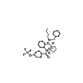 CCCCN(Cc1ccccc1)[C@H]1c2ccccc2N(C(=O)c2ccc(OC(F)(F)F)cc2)[C@@H]2CCC[C@@H]21